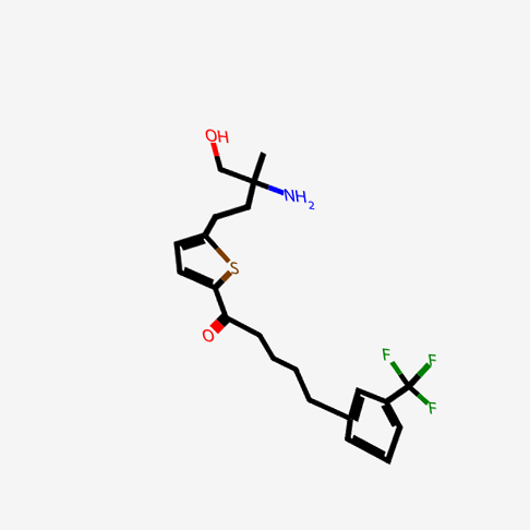 CC(N)(CO)CCc1ccc(C(=O)CCCCc2cccc(C(F)(F)F)c2)s1